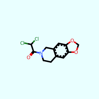 O=C(C(Cl)Cl)N1CCc2cc3c(cc2C1)OCO3